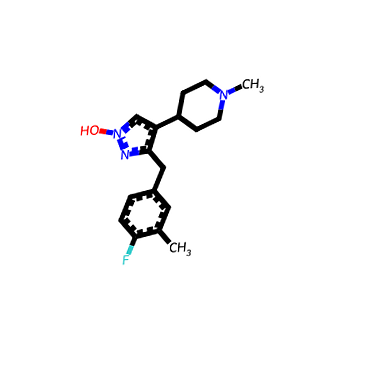 Cc1cc(Cc2nn(O)cc2C2CCN(C)CC2)ccc1F